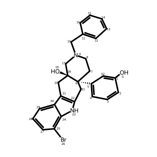 Oc1cccc([C@@]23CCN(Cc4ccccc4)C[C@@]2(O)Cc2c([nH]c4c(Br)cccc24)C3)c1